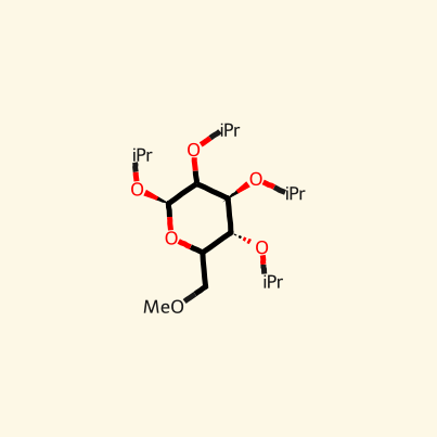 COCC1O[C@@H](OC(C)C)C(OC(C)C)[C@@H](OC(C)C)[C@@H]1OC(C)C